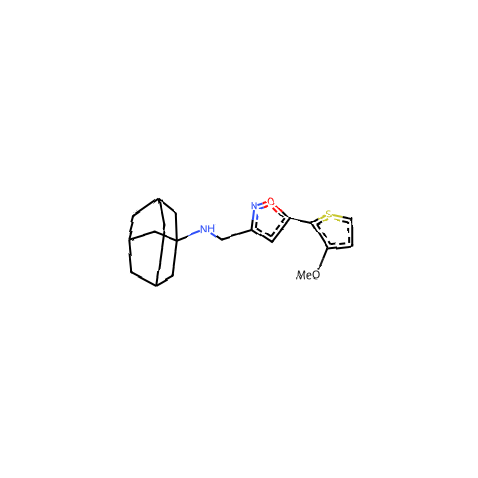 COc1ccsc1-c1cc(CNC23CC4CC(CC(C4)C2)C3)no1